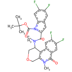 CN(C(=O)c1cc2cc(F)c(F)cc2n1C(=O)OC(C)(C)C)C1COCc2c1c1cc(F)c(F)cc1c(=O)n2C